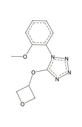 COc1ccccc1-n1nnnc1OC1COC1